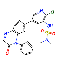 CN(C)S(=O)(=O)Nc1cc(-c2ccc3ncc(=O)n(-c4ccccc4)c3c2)cnc1Cl